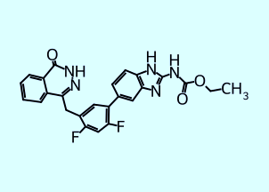 CCOC(=O)Nc1nc2cc(-c3cc(Cc4n[nH]c(=O)c5ccccc45)c(F)cc3F)ccc2[nH]1